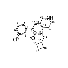 O=c1c(-c2cccc(Cl)c2)cc2c(n1CC1CCC1)CCNC2